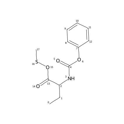 CCC(NC(=O)Oc1ccccc1)C(=O)OSC